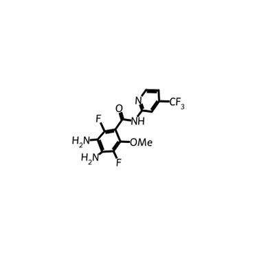 COc1c(F)c(N)c(N)c(F)c1C(=O)Nc1cc(C(F)(F)F)ccn1